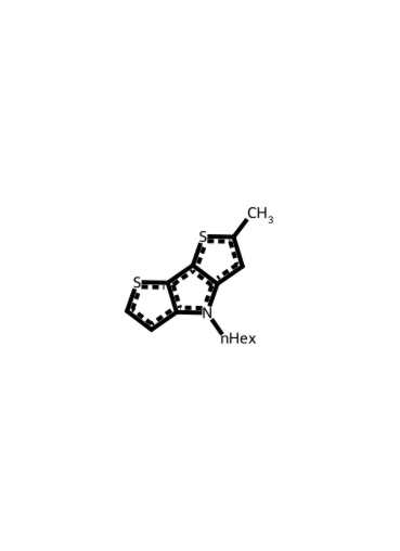 CCCCCCn1c2ccsc2c2sc(C)cc21